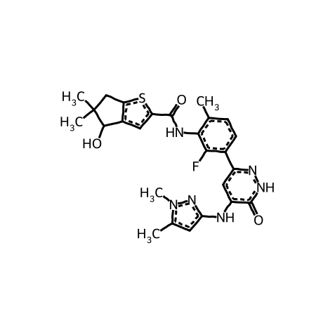 Cc1ccc(-c2cc(Nc3cc(C)n(C)n3)c(=O)[nH]n2)c(F)c1NC(=O)c1cc2c(s1)CC(C)(C)C2O